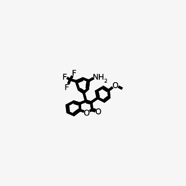 COc1ccc(-c2c(-c3cc(N)cc(C(F)(F)F)c3)c3ccccc3oc2=O)cc1